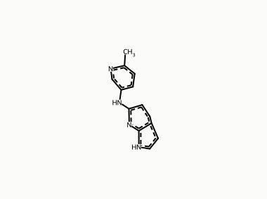 Cc1ccc(Nc2ccc3cc[nH]c3n2)cn1